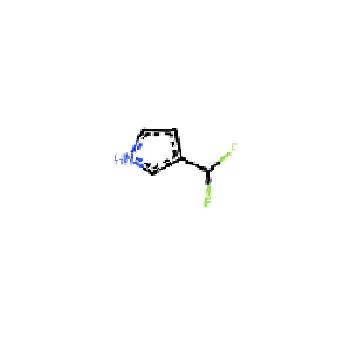 FC(F)c1cc[nH]c1